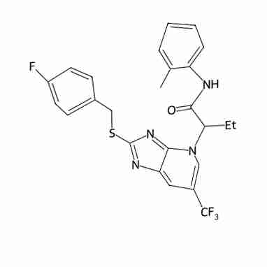 CCC(C(=O)Nc1ccccc1C)n1cc(C(F)(F)F)cc2nc(SCc3ccc(F)cc3)nc1-2